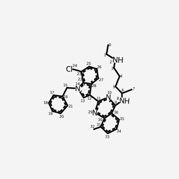 CCNCCCC(C)Nc1nc(-c2cn(Cc3ccccc3)c3c(Cl)cccc23)nc2c(C)cccc12